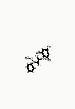 CCCCON(C(=O)C(=O)Nc1c(Br)cc(F)cc1Br)c1ccccc1